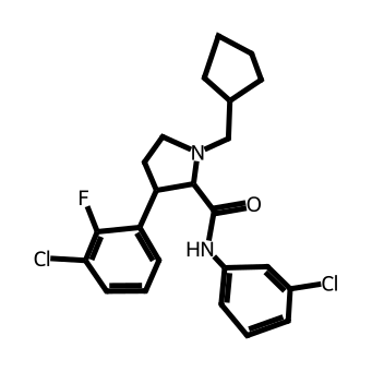 O=C(Nc1cccc(Cl)c1)C1C(c2cccc(Cl)c2F)CCN1CC1CCCC1